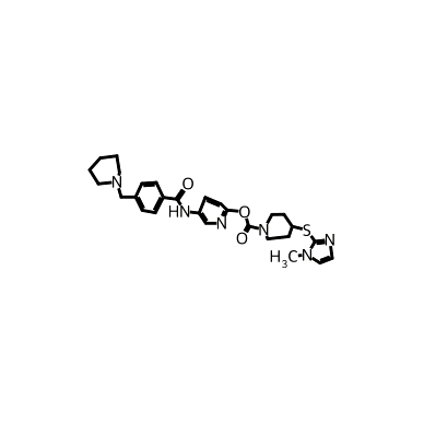 Cn1ccnc1SC1CCN(C(=O)Oc2ccc(NC(=O)c3ccc(CN4CCCCC4)cc3)cn2)CC1